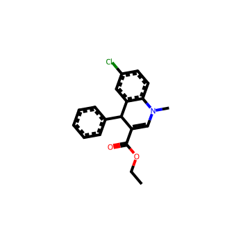 CCOC(=O)C1=CN(C)c2ccc(Cl)cc2C1c1ccccc1